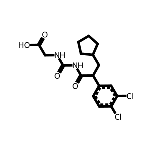 O=C(O)CNC(=O)NC(=O)C(CC1CCCC1)c1ccc(Cl)c(Cl)c1